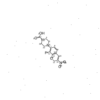 O=C(O)N1CCN(c2ccc3c(c2F)OCC([N+](=O)[O-])=C3)CC1